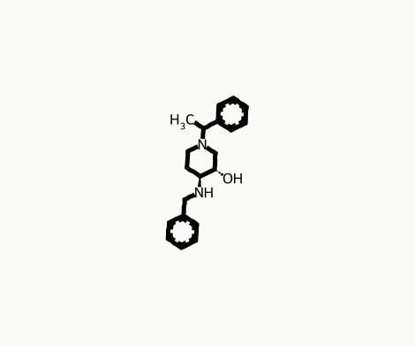 CC(c1ccccc1)N1CC[C@H](NCc2ccccc2)[C@@H](O)C1